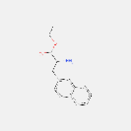 CCOC(=O)C(N)Cc1ccc2ccccc2c1